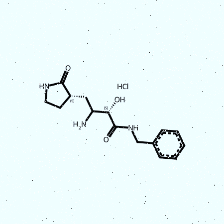 Cl.NC(C[C@@H]1CCNC1=O)[C@H](O)C(=O)NCc1ccccc1